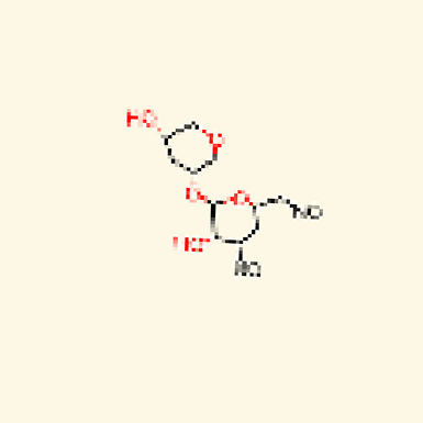 O=NC[C@H]1C[C@@H](N=O)[C@H](O)[C@@H](O[C@H]2COC[C@@H](O)C2)O1